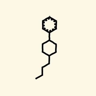 CCCCC1CCC(c2cc[c]cc2)CC1